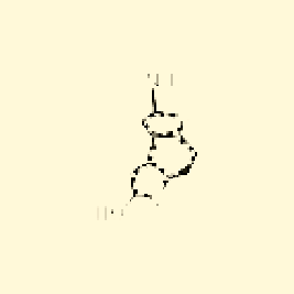 Nc1cc2c(ccc3oc(O)cc32)o1